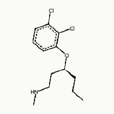 CCC[C@@H](CCNC)Oc1cccc(Cl)c1Cl